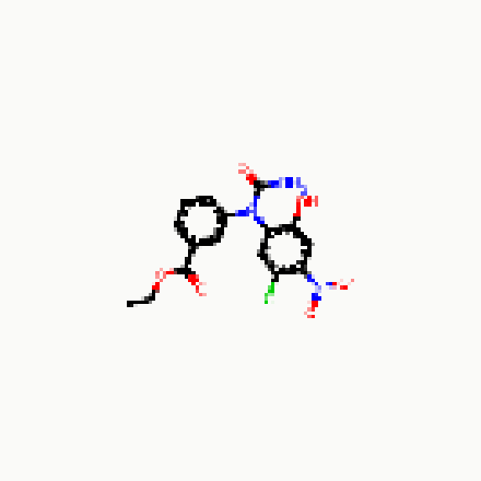 CCOC(=O)c1cccc(N(C(N)=O)c2cc(Cl)c([N+](=O)[O-])cc2O)c1